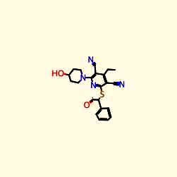 CCc1c(C#N)c(SC([C]=O)c2ccccc2)nc(N2CCC(O)CC2)c1C#N